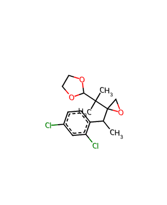 CC(c1ccc(Cl)cc1Cl)C1(C(C)(C)C2OCCO2)CO1